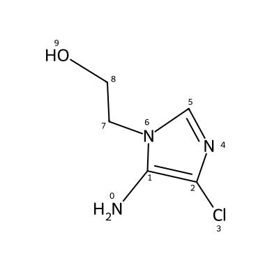 Nc1c(Cl)ncn1CCO